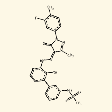 CC1=NN(c2ccc(C)c(F)c2)C(=O)/C1=N\Nc1cccc(-c2cccc(NS(=O)(=O)C(F)(F)F)c2)c1O